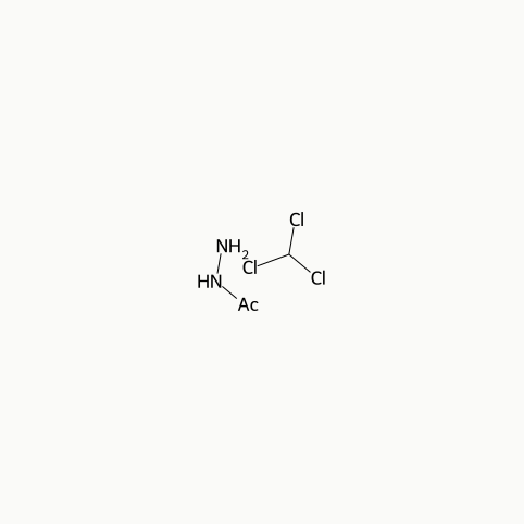 CC(=O)NN.ClC(Cl)Cl